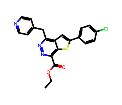 CCOC(=O)c1nnc(Cc2ccncc2)c2cc(-c3ccc(Cl)cc3)sc12